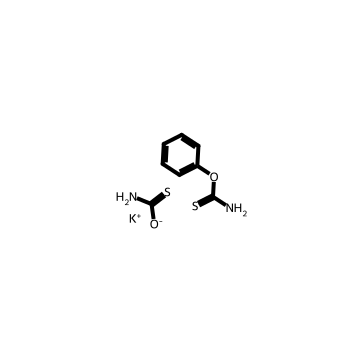 NC(=S)Oc1ccccc1.NC([O-])=S.[K+]